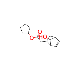 O=C(CC1CC2C=CC1C2O)OC1CCCC1